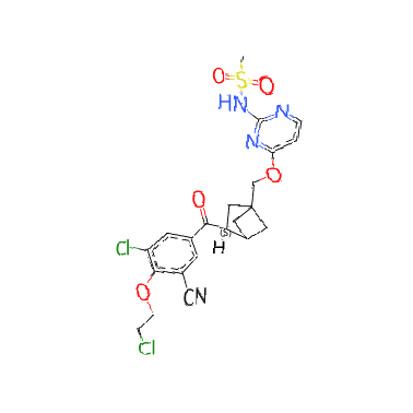 CS(=O)(=O)Nc1nccc(OCC23CC(C2)[C@@H](C(=O)c2cc(Cl)c(OCCCl)c(C#N)c2)C3)n1